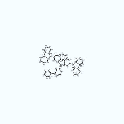 c1ccc(-c2cccc(-n3c4cc(-n5c6ccccc6c6ccccc65)cc5ccc6cc(-n7c8ccccc8c8ccccc87)cc3c6c54)c2)cc1